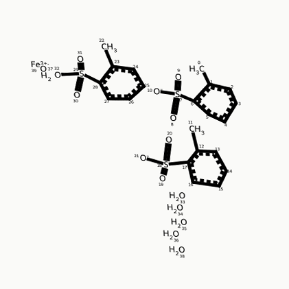 Cc1ccccc1S(=O)(=O)[O-].Cc1ccccc1S(=O)(=O)[O-].Cc1ccccc1S(=O)(=O)[O-].O.O.O.O.O.O.[Fe+3]